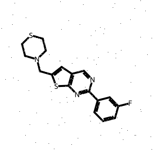 Fc1cccc(-c2ncc3cc(CN4CCSCC4)sc3n2)c1